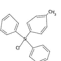 Cc1ccc([Si](Cl)(c2ccccc2)c2ccccc2)cc1